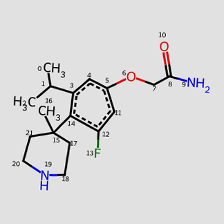 CC(C)c1cc(OCC(N)=O)cc(F)c1C1(C)CCNCC1